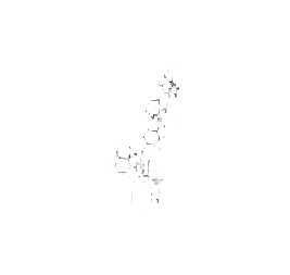 CC(C)n1cc(-c2ccnc(Nc3ccc(C(=O)Nc4ccccc4NC(=O)OC(C)(C)CN)cc3)n2)nn1